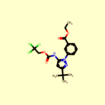 CCOC(=O)c1cccc(-n2nc(C(C)(C)C)cc2NC(=O)OCC(Cl)(Cl)Cl)c1